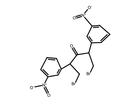 O=C(C(CBr)c1cccc([N+](=O)[O-])c1)C(CBr)c1cccc([N+](=O)[O-])c1